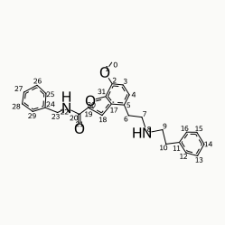 COc1ccc(CCNCCc2ccccc2)c2cc(C(=O)NCc3ccccc3)oc12